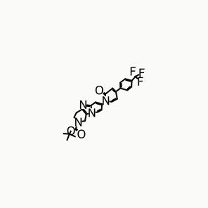 CC(C)(C)OC(=O)N1CCc2nc3cc(-n4ccc(-c5ccc(C(F)(F)F)cc5)cc4=O)ccn3c2C1